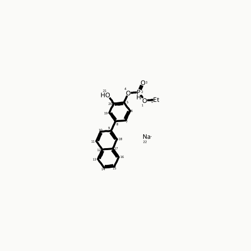 CCO[PH](=O)Oc1ccc(-c2ccc3ccccc3c2)cc1O.[Na]